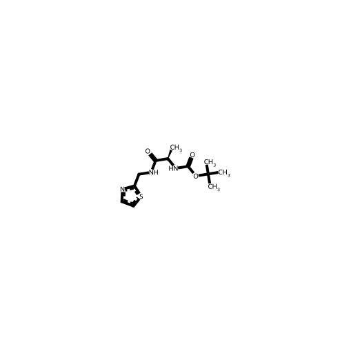 C[C@@H](NC(=O)OC(C)(C)C)C(=O)NCc1nccs1